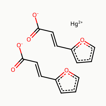 O=C([O-])C=Cc1ccco1.O=C([O-])C=Cc1ccco1.[Hg+2]